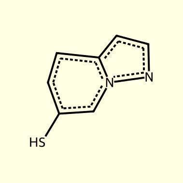 Sc1ccc2ccnn2c1